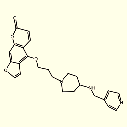 O=c1ccc2c(OCCCN3CCC(NCc4ccncc4)CC3)c3ccoc3cc2o1